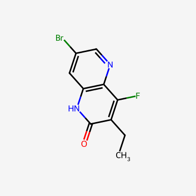 CCc1c(F)c2ncc(Br)cc2[nH]c1=O